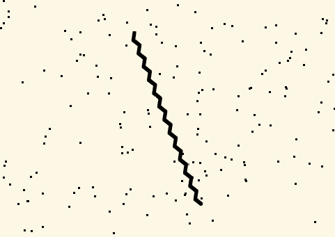 CCCCCC[CH]CCCCCCCCCCCCCCCCCCCC